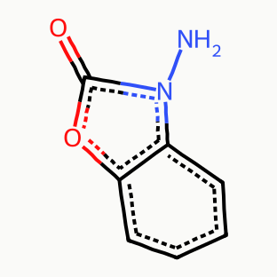 Nn1c(=O)oc2ccccc21